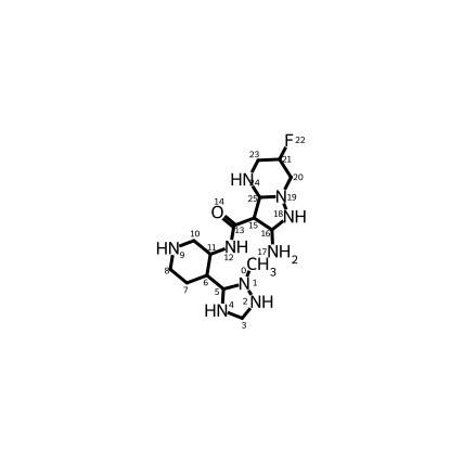 CN1NCNC1C1CCNCC1NC(=O)C1C(N)NN2CC(F)CNC12